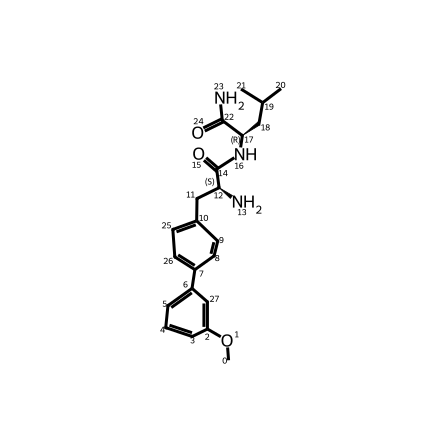 COc1cccc(-c2ccc(C[C@H](N)C(=O)N[C@H](CC(C)C)C(N)=O)cc2)c1